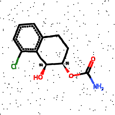 NC(=O)O[C@H]1CCc2cccc(Cl)c2[C@@H]1O